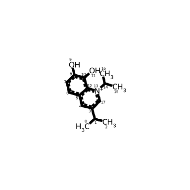 CC(C)c1cc2ccc(O)c(O)c2[n+](C(C)C)c1